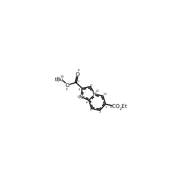 CCOC(=O)c1ccc2nc(C(=O)OC(C)(C)C)cn2c1